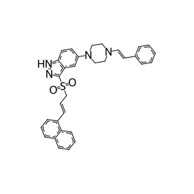 O=S(=O)(CC=Cc1cccc2ccccc12)c1n[nH]c2ccc(N3CCN(C=Cc4ccccc4)CC3)cc12